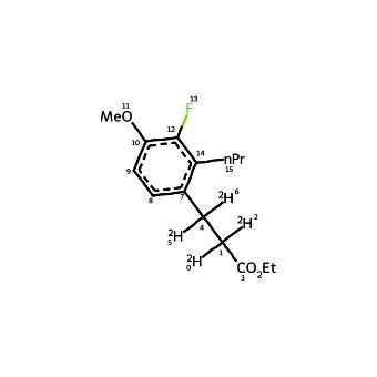 [2H]C([2H])(C(=O)OCC)C([2H])([2H])c1ccc(OC)c(F)c1CCC